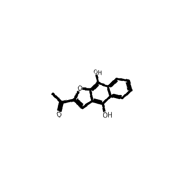 CC(=O)c1cc2c(O)c3ccccc3c(O)c2o1